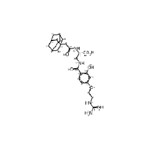 N=C(N)NCCOc1ccc(C(=O)NC[C@H](NC(=O)CC23CC4CC(CC(C4)C2)C3)C(=O)O)c(O)c1